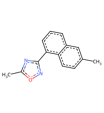 Cc1ccc2c(-c3noc(C)n3)cccc2c1